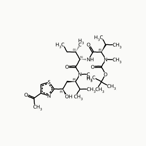 CC[C@H](C)[C@H](NC(=O)[C@@H](C(C)C)N(C)C(=O)OC(C)(C)C)C(=O)N(C)[C@H](C[C@@H](O)c1nc(C(C)=O)cs1)C(C)C